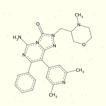 Cc1cc(-c2c(-c3ccccc3)nc(N)n3c(=O)n(CC4COCCN4C)nc23)cc(C)n1